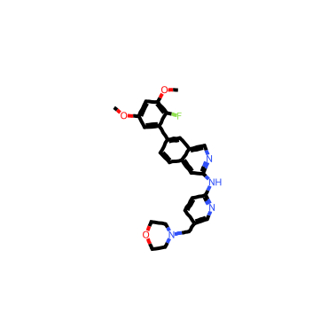 COc1cc(OC)c(F)c(-c2ccc3cc(Nc4ccc(CN5CCOCC5)cn4)ncc3c2)c1